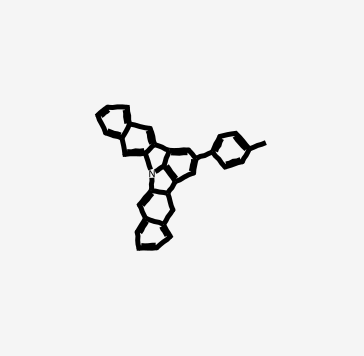 Cc1ccc(-c2cc3c4c(c2)c2cc5ccccc5cc2n4C2=Cc4ccccc4CC23)cc1